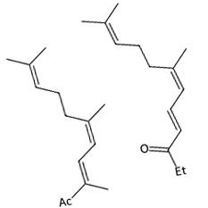 CC(=O)C(C)=CC=C(C)CCC=C(C)C.CCC(=O)C=CC=C(C)CCC=C(C)C